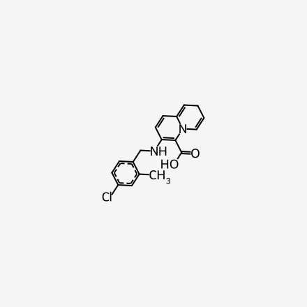 Cc1cc(Cl)ccc1CNC1=C(C(=O)O)N2C=CCC=C2C=C1